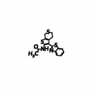 CC(=O)Nc1sc2c(c1-c1nc3ccccc3s1)CCSC2